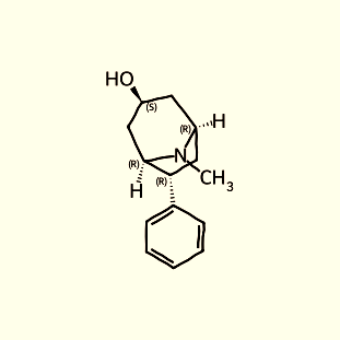 CN1[C@H]2C[C@H](O)C[C@@H]1[C@@H](c1ccccc1)C2